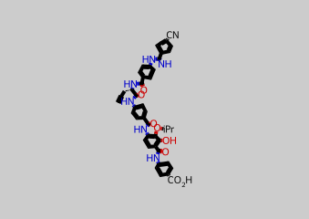 C#CC[C@H](NC(=O)c1ccc(NC(=N)c2ccc(C#N)cc2)cc1)C(=O)Nc1ccc(C(=O)Nc2ccc(C(=O)Nc3ccc(C(=O)O)cc3)c(O)c2OC(C)C)cc1